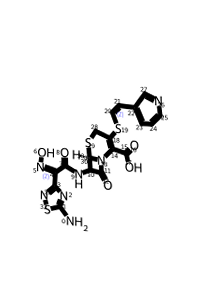 Nc1nc(/C(=N/O)C(=O)NC2C(=O)N3C(C(=O)O)=C(S/C=C\c4cccnc4)CS[C@H]23)ns1